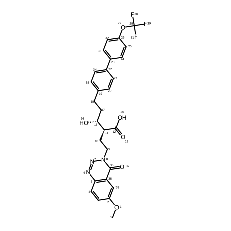 COc1ccc2nnn(CC[C@H](C(=O)O)[C@H](O)CCc3ccc(-c4ccc(OC(F)(F)F)cc4)cc3)c(=O)c2c1